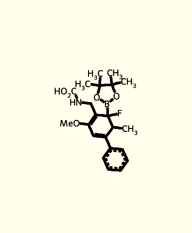 COC1=C(CNC(=O)O)C(F)(B2OC(C)(C)C(C)(C)O2)C(C)C(c2ccccc2)=C1